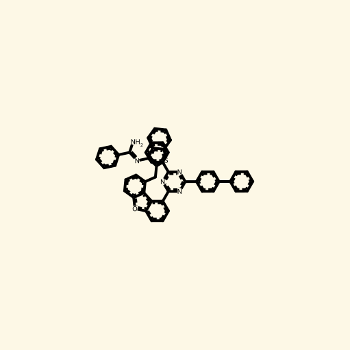 N/C(=N\c1c(Cc2cccc3oc4cccc(-c5nc(-c6ccccc6)nc(-c6ccc(-c7ccccc7)cc6)n5)c4c23)sc2ccccc12)c1ccccc1